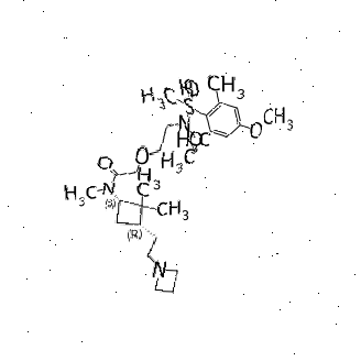 COc1cc(C)c([SH](C)(=O)N(CCOCC(=O)N(C)[C@H]2C[C@@H](CCN3CCC3)C2(C)C)OC)c(C)c1